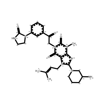 CC(C)=CCn1c(N2CCCC(N)C2)nc2c1c(=O)n(CC(=O)c1cccc(N3CCNC3=O)c1)c(=O)n2C